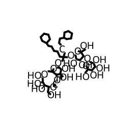 OCC1O[C@H](O[C@@H]2C(CO)O[C@@H](OCC(CCCCCC3CCCCC3)(CCCCCC3CCCCC3)CO[C@@H]3OC4CO[C@@H](O)C(O)[C@H](O)C(CO)OCO[C@H]4C(O)C3O)C(O)C2O)C(O)C(O)[C@@H]1O